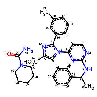 CC(Nc1nccc(-n2cc(C(=O)O)nc2-c2cccc(C(F)(F)F)c2)n1)c1ccccc1.NC(=O)N1CCCCC1